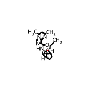 CCCCO[C@H]1[C@@H]2CC[C@H]1C[C@H](NC(=O)c1ncn3c(C)cc(C)nc13)C2